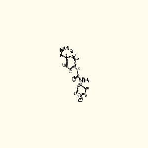 NCc1ccc(CC(=O)Nc2ccc(Cl)cc2)cc1